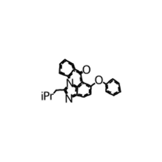 CC(C)Cc1nc2ccc(Oc3ccccc3)c3c(=O)c4ccccc4n1c23